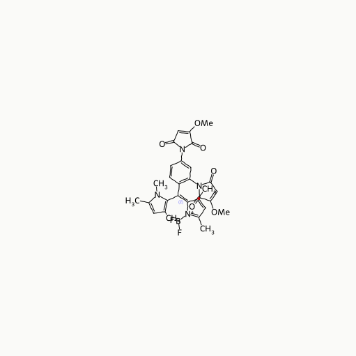 COC1=CC(=O)N(c2ccc(/C(=C3\C(C)=CC(C)=[N+]3B(F)F)c3c(C)cc(C)n3C)c(N3C(=O)C=C(OC)C3=O)c2)C1=O